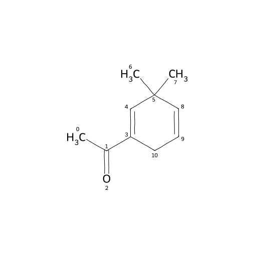 CC(=O)C1=CC(C)(C)C=CC1